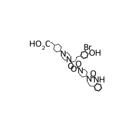 O=C(O)CC1CCC(N2CCN(C(=O)[C@@H](Cc3ccc(O)c(Br)c3)OC(=O)N3CCC(N4CCc5ccccc5NC4=O)CC3)CC2)CC1